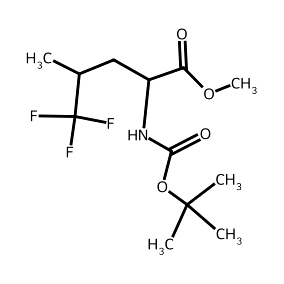 COC(=O)C(CC(C)C(F)(F)F)NC(=O)OC(C)(C)C